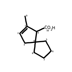 CC1=CCC2(CCCC2)C1C(=O)O